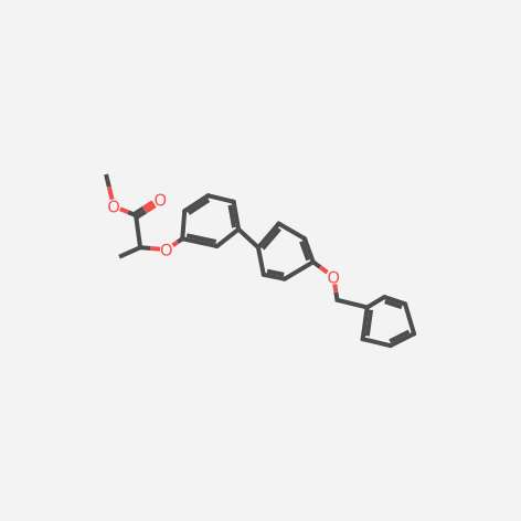 COC(=O)C(C)Oc1cccc(-c2ccc(OCc3ccccc3)cc2)c1